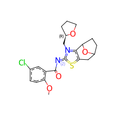 COc1ccc(Cl)cc1C(=O)/N=c1\sc2c(n1C[C@H]1CCCO1)C1CCC(C2)O1